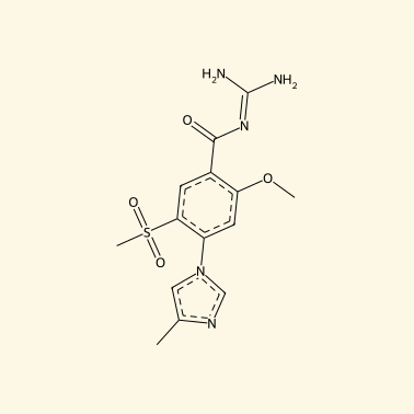 COc1cc(-n2cnc(C)c2)c(S(C)(=O)=O)cc1C(=O)N=C(N)N